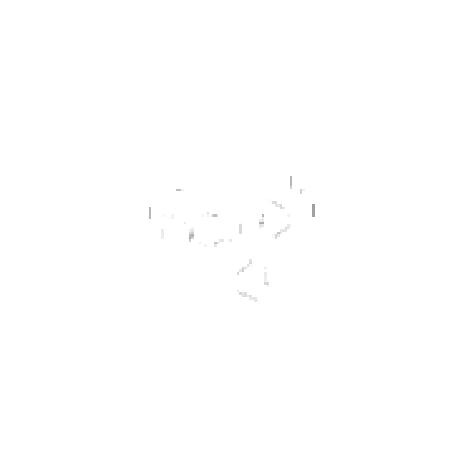 FC(F)(F)c1ccc([SH](c2ccccc2)c2ccc(C(F)(F)F)cc2)cc1